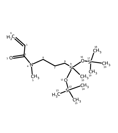 C=CC(=O)N(C)CCC[Si](C)(O[Si](C)(C)C)O[Si](C)(C)C